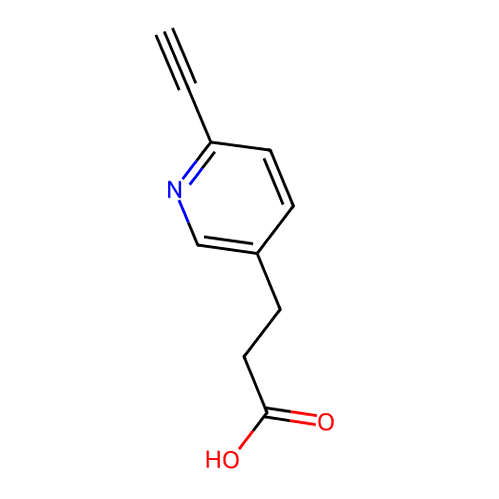 C#Cc1ccc(CCC(=O)O)cn1